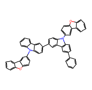 c1ccc(-c2ccc3c(c2)c2cc(-c4ccc5c(c4)c4ccccc4n5-c4ccc5oc6ccccc6c5c4)ccc2n3-c2ccc3oc4ccccc4c3c2)cc1